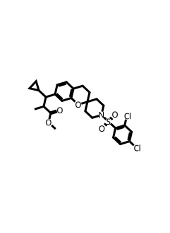 COC(=O)C(C)C(c1ccc2c(c1)OC1(CC2)CCN(S(=O)(=O)c2ccc(Cl)cc2Cl)CC1)C1CC1